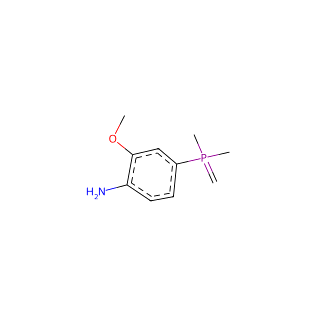 C=P(C)(C)c1ccc(N)c(OC)c1